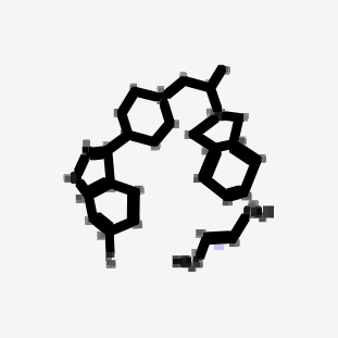 CC(CN1CCC(c2noc3cc(F)ccc23)CC1)N1Cc2ccccc2C1.O=C(O)/C=C/C(=O)O